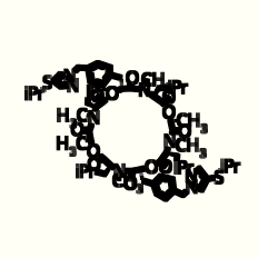 CC(C)C[C@H]1C(=O)O[C@H](Cc2ccc(Cn3cc(SC(C)C)cn3)cc2)C(=O)N(C)[C@@H](CC(C)C)C(=O)O[C@H](C)C(=O)N(C)[C@@H](CC(C)C)C(=O)O[C@H](Cc2ccc(Cn3cc(SC(C)C)cn3)cc2)C(=O)N(C)[C@@H](CC(C)C)C(=O)O[C@H](C)C(=O)N1C